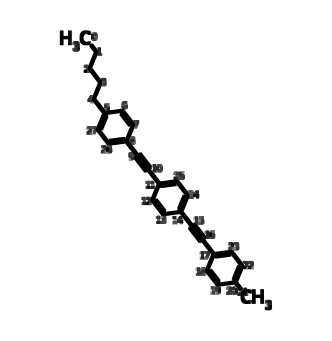 CCCCCc1ccc(C#Cc2ccc(C#Cc3ccc(C)cc3)cc2)cc1